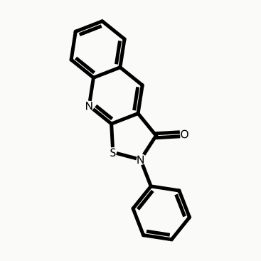 O=c1c2cc3ccccc3nc2sn1-c1ccccc1